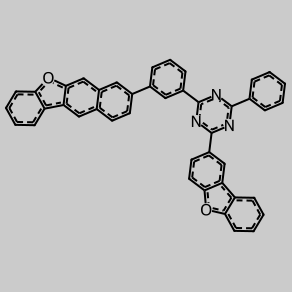 c1ccc(-c2nc(-c3cccc(-c4ccc5cc6c(cc5c4)oc4ccccc46)c3)nc(-c3ccc4oc5ccccc5c4c3)n2)cc1